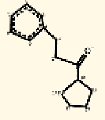 O=C(CCc1ccccc1)C1CCC[N]1